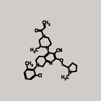 C=CC(=O)N1CCN(c2c(C#N)c(OCC3CCCN3C)nc3c2CCN(c2c(C)cccc2Cl)C3)C(C)C1